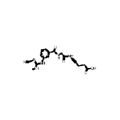 CNC(=NC#N)Nc1cccc(C(=O)NCC(=O)NC#CCCC(=O)O)c1